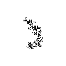 COc1c(CNC(=O)c2cc(C3CC3)nn2C)cccc1OCc1ncc(C(=O)N2CCN(S(C)(=O)=O)CC2)s1